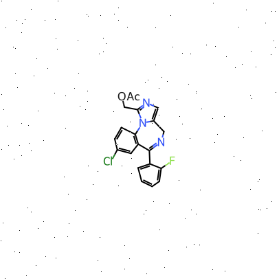 CC(=O)OCc1ncc2n1-c1ccc(Cl)cc1C(c1ccccc1F)=NC2